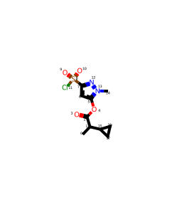 CC(C(=O)Oc1cc(S(=O)(=O)Cl)nn1C)C1CC1